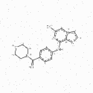 O=C(c1ccc(Nc2nc(Br)cn3ccnc23)cc1)N1CCOCC1